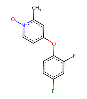 Cc1cc(Oc2ccc(F)cc2F)cc[n+]1[O-]